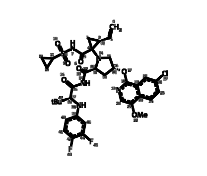 C=C[C@@H]1CC1(C(=O)NS(=O)(=O)C1CC1)N1C[C@H](Oc2ncc(OC)c3ccc(Cl)cc23)C[C@H]1C(=O)NC(=O)[C@@H](Nc1ccc(F)c(F)c1)C(C)(C)C